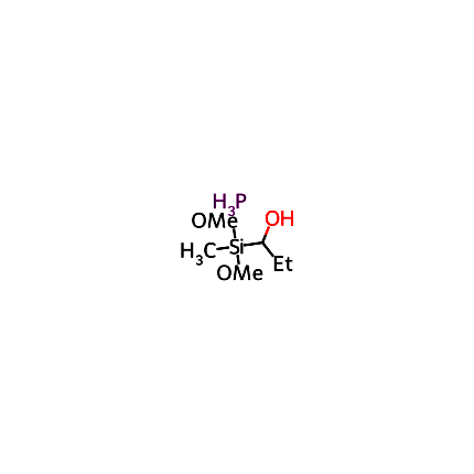 CCC(O)[Si](C)(OC)OC.P